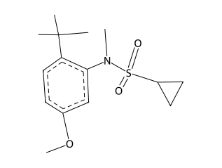 COc1ccc(C(C)(C)C)c(N(C)S(=O)(=O)C2CC2)c1